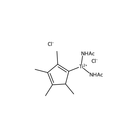 CC(=O)[NH][Ti+2]([NH]C(C)=O)[C]1=C(C)C(C)=C(C)C1C.[Cl-].[Cl-]